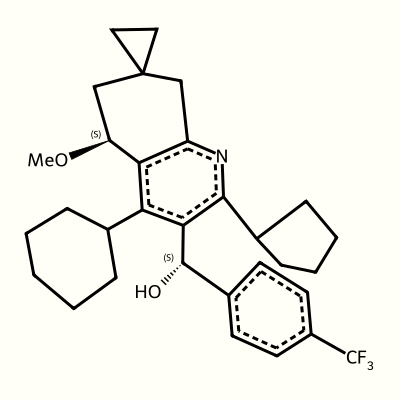 CO[C@H]1CC2(CC2)Cc2nc(C3CCCC3)c([C@@H](O)c3ccc(C(F)(F)F)cc3)c(C3CCCCC3)c21